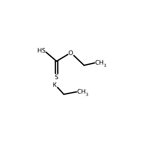 CCOC(=S)S.C[CH2][K]